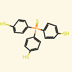 S=P(c1ccc(S)cc1)(c1ccc(S)cc1)c1ccc(S)cc1